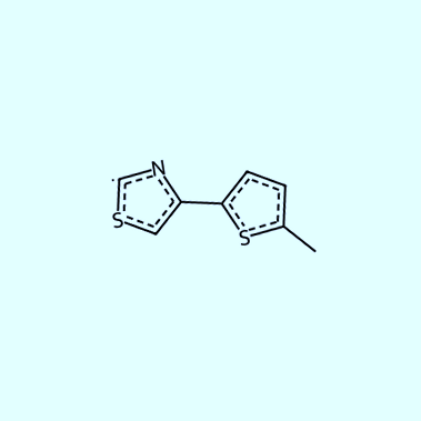 Cc1ccc(-c2cs[c]n2)s1